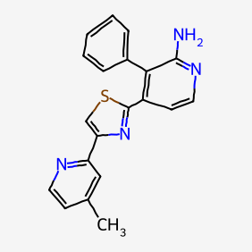 Cc1ccnc(-c2csc(-c3ccnc(N)c3-c3ccccc3)n2)c1